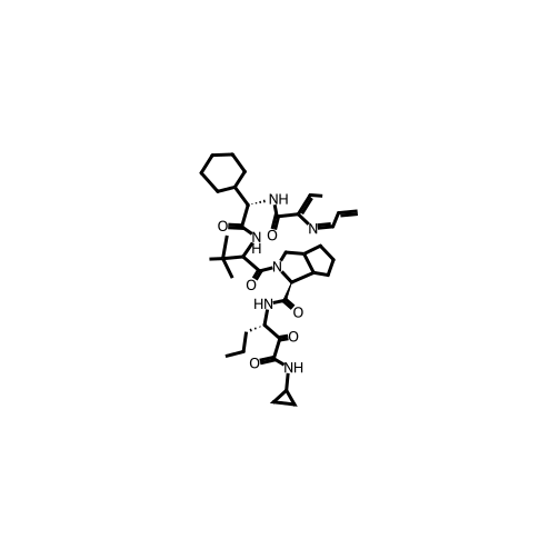 C=C/C=N\C(=C/C)C(=O)N[C@H](C(=O)NC(C(=O)N1CC2CCCC2[C@H]1C(=O)N[C@@H](CCC)C(=O)C(=O)NC1CC1)C(C)(C)C)C1CCCCC1